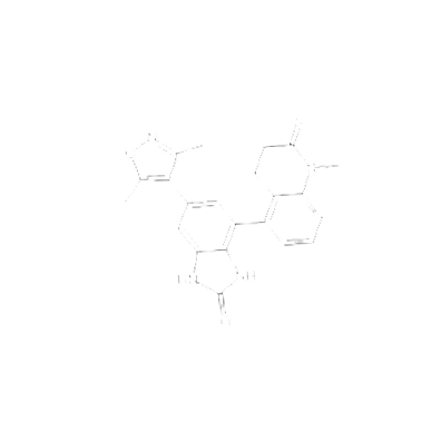 Cc1noc(C)c1-c1cc(-c2cccc3c2CCC(=O)N3C)c2[nH]c(=O)[nH]c2c1